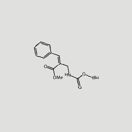 COC(=O)C(=Cc1ccccc1)CNC(=O)OC(C)(C)C